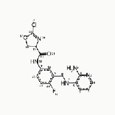 Nc1ncccc1NCc1cc(NC(=O)C2COC(Cl)=N2)ccc1F